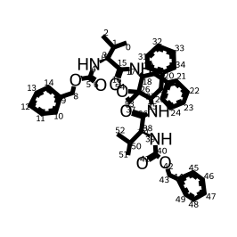 CC(C)[C@H](NC(=O)OCc1ccccc1)C(=O)NC(Cc1ccccc1)C1(C(Cc2ccccc2)NC(=O)[C@@H](NC(=O)OCc2ccccc2)C(C)C)CO1